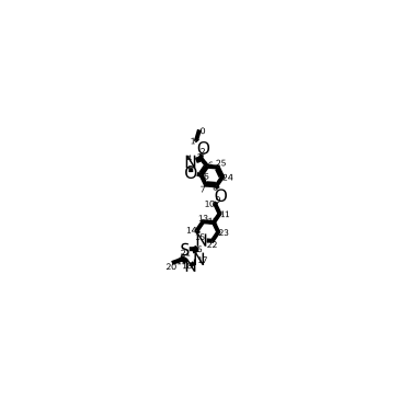 CCOc1noc2cc(OCCC3CCN(c4nnc(C)s4)CC3)ccc12